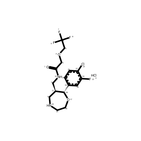 Cl.O=C(COCC(F)(F)F)NC[C@@H]1CNCCO[C@H]1c1ccc(Cl)c(F)c1